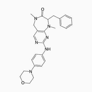 CN1Cc2cnc(Nc3ccc(N4CCOCC4)cc3)nc2N(C)C(Cc2ccccc2)C1=O